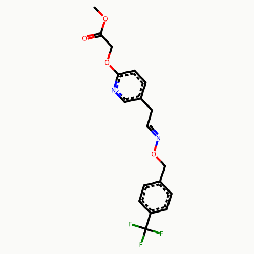 COC(=O)COc1ccc(CC=NOCc2ccc(C(F)(F)F)cc2)cn1